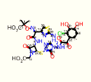 CC(C)(O/N=C(\C(=O)N[C@@H]1C(=O)N(CC(=O)O)[C@@H]1Sn1ncn(NC(=O)C(=O)c2ccc(O)c(O)c2Cl)c1=O)c1csc(N)n1)C(=O)O